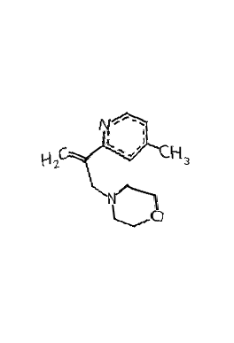 C=C(CN1CCOCC1)c1cc(C)ccn1